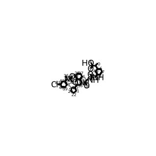 CC(C(=O)O)c1cccc(NC(=O)NCC(=O)N(CCC2CCCC2)c2ccccc2OCC(=O)N(C)c2cccc(Cl)c2)c1